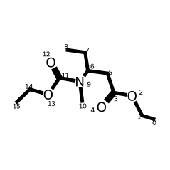 CCOC(=O)CC(CC)N(C)C(=O)OCC